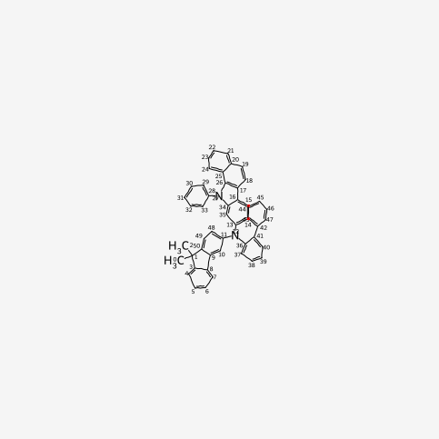 CC1(C)c2ccccc2-c2cc(N(c3ccc4c5ccc6ccccc6c5n(-c5ccccc5)c4c3)c3ccccc3-c3ccccc3)ccc21